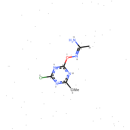 COc1nc(Cl)nc(ON=C(C)N)n1